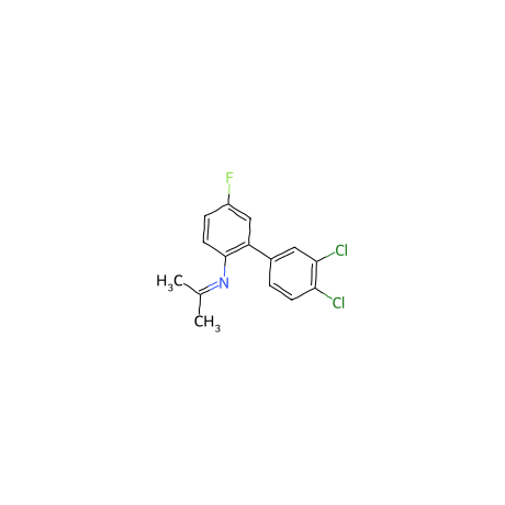 CC(C)=Nc1ccc(F)cc1-c1ccc(Cl)c(Cl)c1